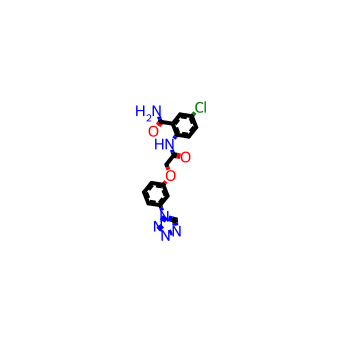 NC(=O)c1cc(Cl)ccc1NC(=O)COc1cccc(-n2cnnn2)c1